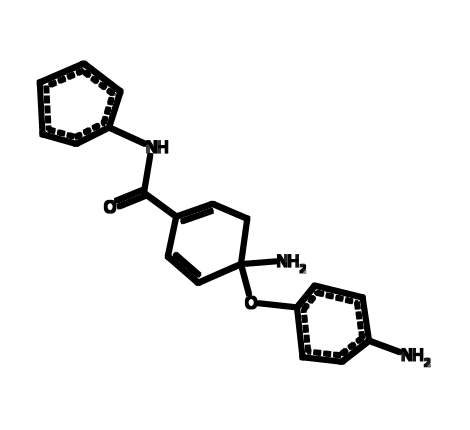 Nc1ccc(OC2(N)C=CC(C(=O)Nc3ccccc3)=CC2)cc1